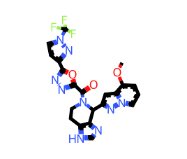 COc1cccn2nc(C3c4nc[nH]c4CCN3C(=O)c3nnc(-c4ccn(C(F)(F)F)n4)o3)cc12